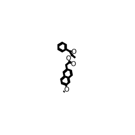 COc1ccc2cc(CC(=O)OC3(C)OC3c3ccccc3)ccc2c1